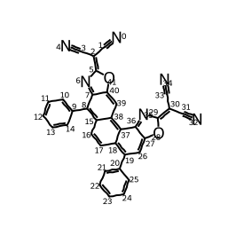 N#CC(C#N)=c1nc2c(-c3ccccc3)c3ccc4c(-c5ccccc5)cc5oc(=C(C#N)C#N)nc5c4c3cc2o1